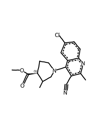 COC(=O)[C@H]1CCN(c2c(C#N)c(C)nc3ccc(Cl)cc23)CC1C